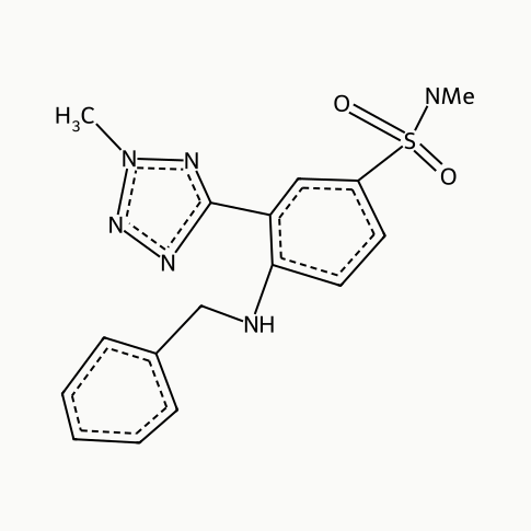 CNS(=O)(=O)c1ccc(NCc2ccccc2)c(-c2nnn(C)n2)c1